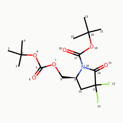 CC(C)(C)OC(=O)OC[C@@H]1CC(F)(F)C(=O)N1C(=O)OC(C)(C)C